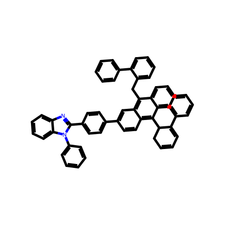 C1=CCC(c2c3ccccc3c(Cc3ccccc3-c3ccccc3)c3cc(-c4ccc(-c5nc6ccccc6n5-c5ccccc5)cc4)ccc23)C(c2ccccc2)=C1